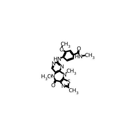 CNC(=O)c1ccc(Nc2ncc3c(n2)N(C)c2sc(C)nc2C(=O)N3C)c(OC)c1